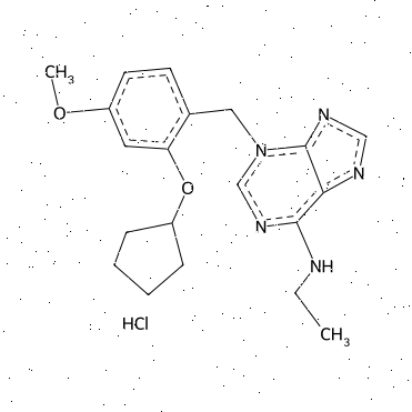 CCNc1ncn(Cc2ccc(OC)cc2OC2CCCC2)c2ncnc1-2.Cl